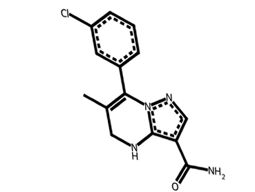 CC1=C(c2cccc(Cl)c2)n2ncc(C(N)=O)c2NC1